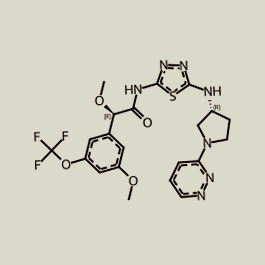 COc1cc(OC(F)(F)F)cc([C@@H](OC)C(=O)Nc2nnc(N[C@@H]3CCN(c4cccnn4)C3)s2)c1